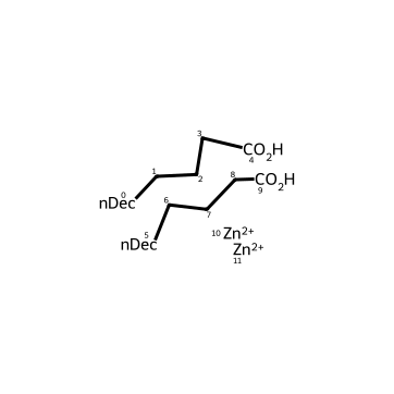 CCCCCCCCCCCCCC(=O)O.CCCCCCCCCCCCCC(=O)O.[Zn+2].[Zn+2]